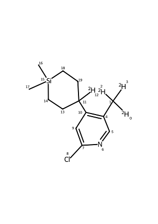 [2H]C([2H])([2H])c1cnc(Cl)cc1C1([2H])CC[Si](C)(C)CC1